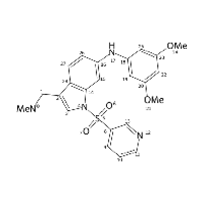 CNCc1cn(S(=O)(=O)c2cccnc2)c2cc(Nc3cc(OC)cc(OC)c3)ccc12